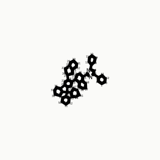 c1ccc(-c2cc(-c3ccccc3)nc(-c3ccc(-c4cc5c(cc4-c4ccc6ccccc6c4)-c4ccccc4C5(c4ccccc4)c4ccccc4)c4ccccc34)n2)cc1